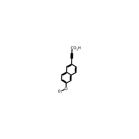 CCOc1ccc2cc(C#CC(=O)O)ccc2c1